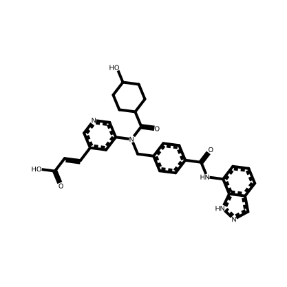 O=C(O)C=Cc1cncc(N(Cc2ccc(C(=O)Nc3cccc4cn[nH]c34)cc2)C(=O)C2CCC(O)CC2)c1